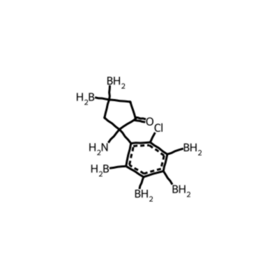 Bc1c(B)c(B)c(C2(N)CC(B)(B)CC2=O)c(Cl)c1B